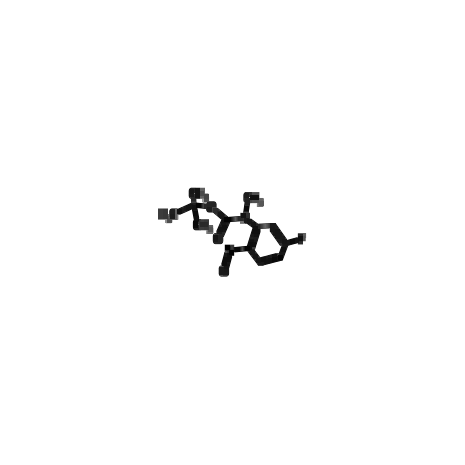 CN(C(=O)OC(C)(C)C)c1cc(F)ccc1N=O